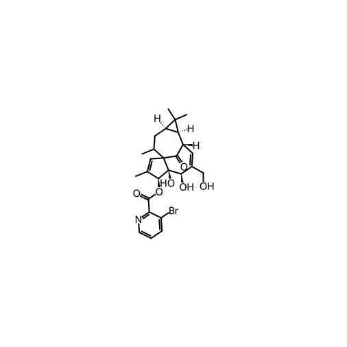 CC1=CC23C(=O)[C@@H](C=C(CO)[C@@H](O)[C@]2(O)[C@H]1OC(=O)c1ncccc1Br)[C@H]1[C@@H](CC3C)C1(C)C